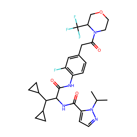 CC(C)n1nccc1C(=O)NC(C(=O)Nc1ccc(CC(=O)N2CCOCC2C(F)(F)F)cc1F)C(C1CC1)C1CC1